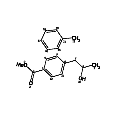 COC(=O)c1ccc(CC(C)O)cc1.Cc1ccccc1